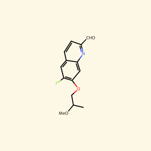 COC(C)COc1cc2nc(C=O)ccc2cc1F